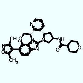 Cc1noc(C)c1-c1ccc2nc(N3CC[C@@H](NC(=O)C4CCOCC4)C3)n3c2c1OC[C@@H]3c1ccccn1